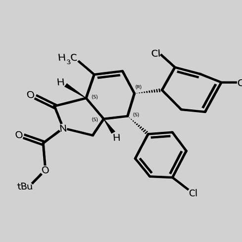 CC1=C[C@H](C2CC=C(Cl)C=C2Cl)[C@H](c2ccc(Cl)cc2)[C@@H]2CN(C(=O)OC(C)(C)C)C(=O)[C@H]12